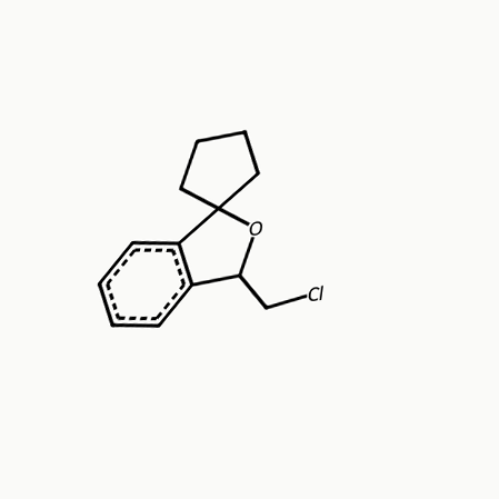 ClCC1OC2(CCCC2)c2ccccc21